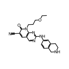 CCOCCCn1c(=O)c(C#N)cc2cnc(Nc3ccc4c(c3)CCNC4)nc21